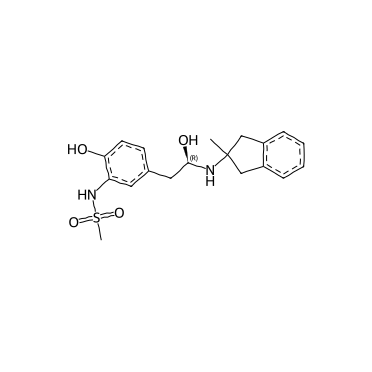 CC1(N[C@H](O)Cc2ccc(O)c(NS(C)(=O)=O)c2)Cc2ccccc2C1